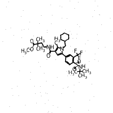 COC(=O)C(C)(C)CCNC(=O)c1cc(-c2ccc(S(=O)(=O)NC(C)(C)C)c(C(F)(F)F)c2)n(CC2CCCCC2)c1C